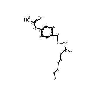 CCCCCC[C@H](C)OCCc1ccc(CC(=O)O)cc1